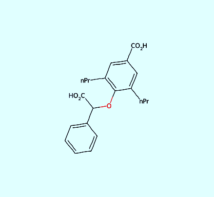 CCCc1cc(C(=O)O)cc(CCC)c1OC(C(=O)O)c1ccccc1